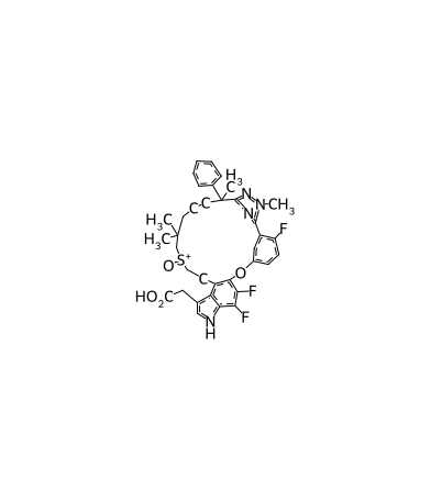 Cn1nc2nc1-c1cc(ccc1F)Oc1c(F)c(F)c3[nH]cc(CC(=O)O)c3c1CC[S+]([O-])CC(C)(C)CCCC2(C)c1ccccc1